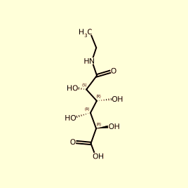 CCNC(=O)[C@@H](O)[C@H](O)[C@@H](O)[C@@H](O)C(=O)O